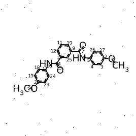 COc1ccc(NC(=O)c2cccc(C(=O)Nc3ccc(OC)cc3)c2)cc1